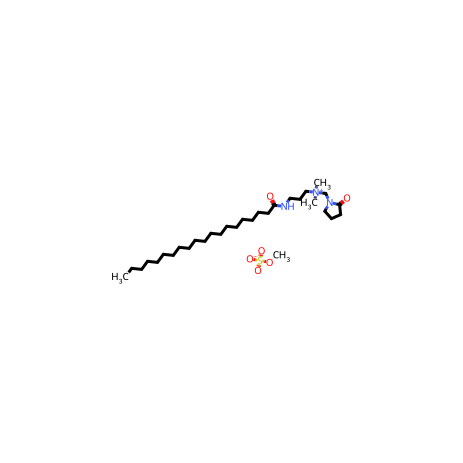 CCCCCCCCCCCCCCCCCCCC(=O)NCCC[N+](C)(C)CN1CCCC1=O.COS(=O)(=O)[O-]